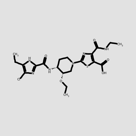 CCNC(=O)c1nc(N2CC[C@@H](NC(=O)c3nc(Cl)c(CC)[nH]3)[C@@H](OCC)C2)sc1C(=O)O